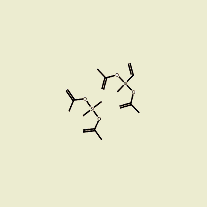 C=C(C)O[Si](C)(C)OC(=C)C.C=C[Si](C)(OC(=C)C)OC(=C)C